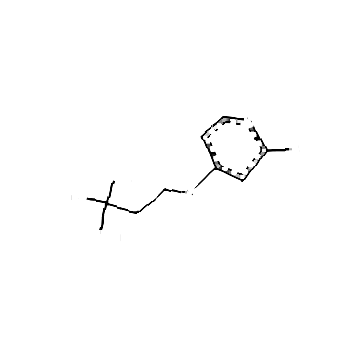 CCOC(=O)C(C)(C)CCNc1ccnc(Cl)c1